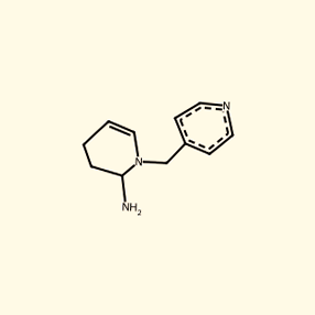 NC1CCC=CN1Cc1ccncc1